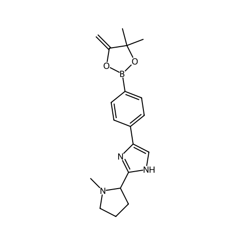 C=C1OB(c2ccc(-c3c[nH]c(C4CCCN4C)n3)cc2)OC1(C)C